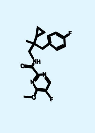 COc1nc(C(=O)NCC(C)(Cc2ccc(F)cc2)C2CC2)ncc1F